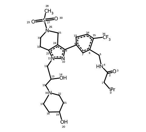 CC(C)CC(=O)NCc1cc(-c2nn(CC(O)CN3CCC(O)CC3)c3c2CN(S(C)(=O)=O)CC3)ccc1C(F)(F)F